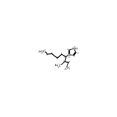 CCCCCC(C(C)CC)[n+]1cc[nH]c1